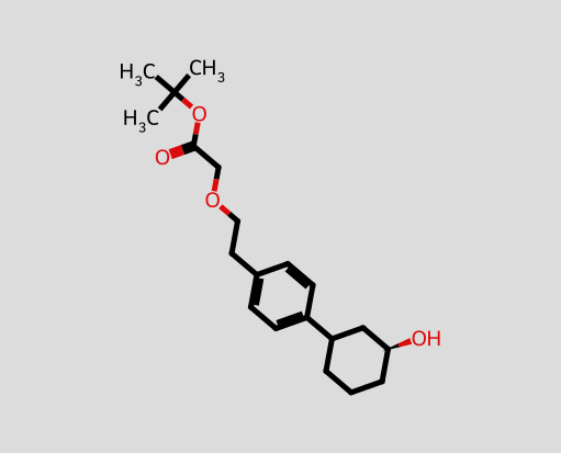 CC(C)(C)OC(=O)COCCc1ccc(C2CCC[C@H](O)C2)cc1